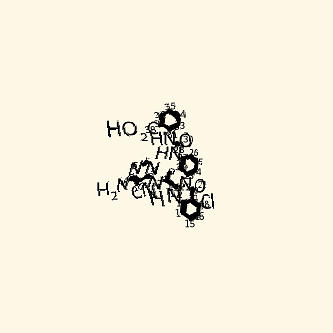 CC(Nc1ncnc(N)c1C#N)c1nc2cccc(Cl)c2c(=O)n1-c1cccc(NC(=O)Nc2ccccc2C(=O)O)c1